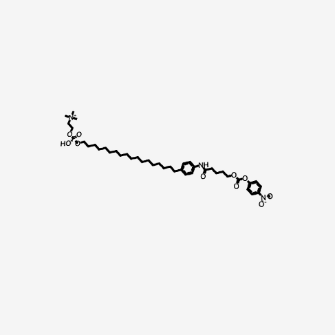 C[N+](C)(C)CCOP(=O)(O)OCCCCCCCCCCCCCCCCCCc1ccc(NC(=O)CCCCOC(=O)Oc2ccc([N+](=O)[O-])cc2)cc1